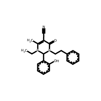 CCN1C(C)=C(C#N)C(=O)N(CCc2ccccc2)C1c1ccccc1O